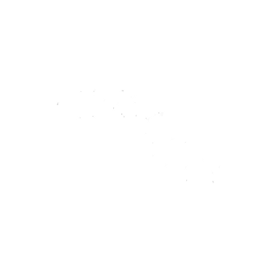 NN(C(=O)c1ccc(-c2ccccc2)cc1)c1nc(-c2ccc(Br)cc2)cs1